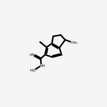 CC(=O)OC1CCc2c1ccc(C(=N)NO)c2C